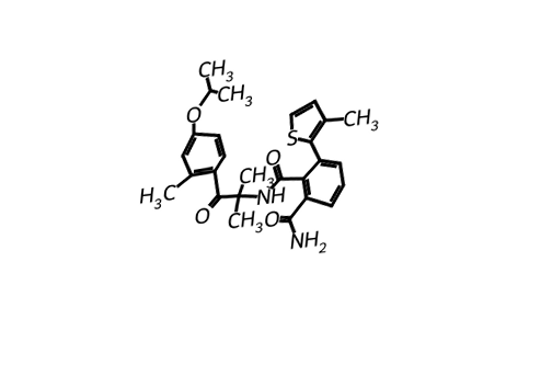 Cc1cc(OC(C)C)ccc1C(=O)C(C)(C)NC(=O)c1c(C(N)=O)cccc1-c1sccc1C